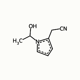 CC(O)n1cccc1CC#N